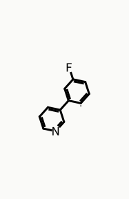 Fc1cc[c]c(-c2cccnc2)c1